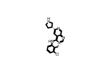 Fc1c(Cl)cccc1Nc1ncnc2cnc([C@@H]3CCNC3)cc12